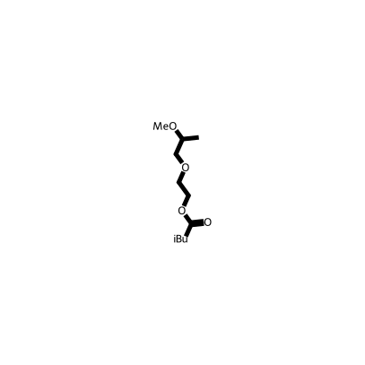 CCC(C)C(=O)OCCOCC(C)OC